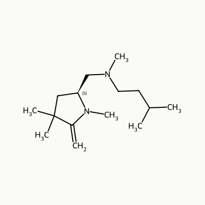 C=C1N(C)[C@H](CN(C)CCC(C)C)CC1(C)C